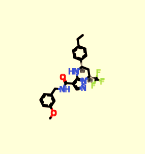 CCc1ccc([C@@H]2C[C@H](C(F)(F)F)n3ncc(C(=O)NCc4cccc(OC)c4)c3N2)cc1